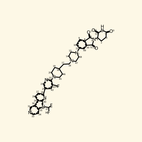 O=C1CCC(N2C(=O)c3ccc(N4CCN(CCC5CCN(c6ncc(-c7ccc8c9cnccc9n(C(F)F)c8n7)cc6F)CC5)CC4)cc3C2=O)C(=O)N1